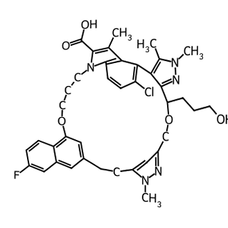 Cc1c(C(=O)O)n2c3ccc(Cl)c(c13)-c1c(nn(C)c1C)C(CCCO)OCc1cc(n(C)n1)CCc1cc(c3ccc(F)cc3c1)OCCC2